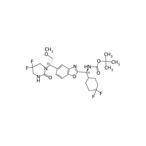 COC[C@H](c1ccc2oc([C@@H](NC(=O)OC(C)(C)C)C3CCC(F)(F)CC3)nc2c1)N1CC(F)(F)CNC1=O